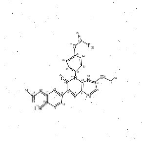 CCOc1cnc2cc(C3=C/C(=C/NC)C(=N)C=C3)c(=O)n(-c3ccc(OC(F)F)cc3)c2n1